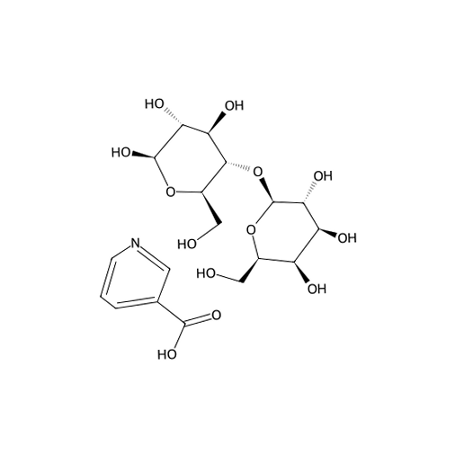 O=C(O)c1cccnc1.OC[C@H]1O[C@@H](O[C@H]2[C@H](O)[C@@H](O)[C@H](O)O[C@@H]2CO)[C@H](O)[C@@H](O)[C@H]1O